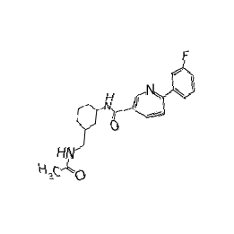 CC(=O)NCC1CCCC(NC(=O)c2ccc(-c3cccc(F)c3)nc2)C1